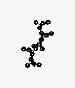 c1ccc(-c2ccc3c(c2)c2cc(-c4ccc5c(c4)c4cc(-c6ccccc6)ccc4n5-c4ccc(-c5nc(-c6ccccc6)c6c(n5)-c5cccc7c(-n8c9ccc(-c%10ccccc%10)cc9c9cc(-c%10ccc%11c(c%10)c%10cc(-c%12ccccc%12)ccc%10n%11-c%10ccccc%10)ccc98)ccc-6c57)cc4)ccc2n3-c2ccccc2)cc1